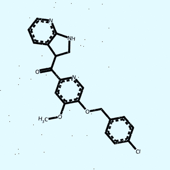 COc1cc(C(=O)C2CNc3ncccc32)ncc1OCc1ccc(Cl)cc1